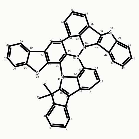 CC1(C)c2ccccc2-c2c1n1c3c(cccc23)B2c3c(cc4c(sc5ccccc54)c3-1)-c1cccc3c4sc5ccccc5c4n2c13